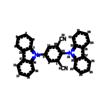 N#Cc1cc(-n2c3ccccc3c3ccccc32)cc(C#N)c1-n1c2ccccc2c2ccccc21